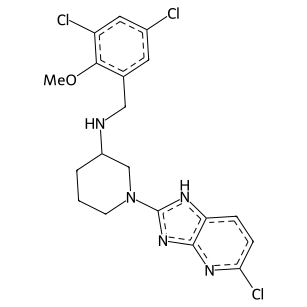 COc1c(Cl)cc(Cl)cc1CNC1CCCN(c2nc3nc(Cl)ccc3[nH]2)C1